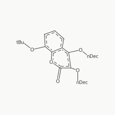 CCCCCCCCCCOc1c(OCCCCCCCCCC)c2cccc(OC(C)(C)C)c2oc1=O